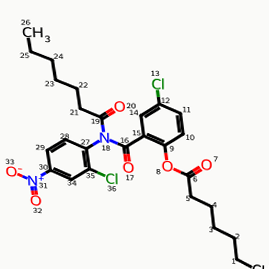 CCCCCCC(=O)Oc1ccc(Cl)cc1C(=O)N(C(=O)CCCCCC)c1ccc([N+](=O)[O-])cc1Cl